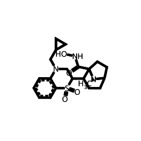 CN1C2C[CH]C(C3CN(CC4CC4)c4ccccc4S3(=O)=O)C1(C(=O)NO)CC2